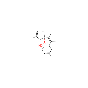 CC1=CCCC(C(C)=C(C)C2(OO)CCC=C(C)C2)C1